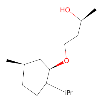 CC(C)C1CC[C@@H](C)C[C@H]1OCC[C@H](C)O